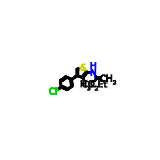 C=C(C)Nc1scc(-c2ccc(Cl)cc2)c1C(=O)OCC